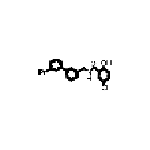 CC(C)c1cccc(-c2cccc(CNC(=O)c3cc(Cl)ccc3O)c2)c1